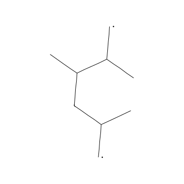 [CH2]C(C)CC(C)C([CH2])C